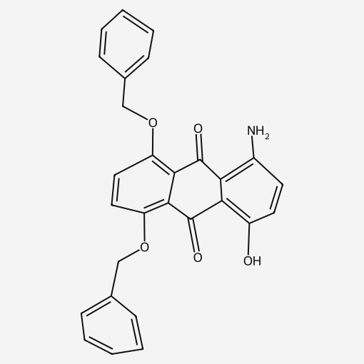 Nc1ccc(O)c2c1C(=O)c1c(OCc3ccccc3)ccc(OCc3ccccc3)c1C2=O